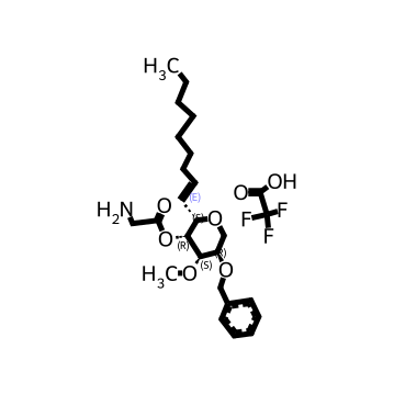 CCCCCCC/C=C/[C@@H]1OC[C@@H](OCc2ccccc2)[C@H](OC)[C@@H]1OC(=O)CN.O=C(O)C(F)(F)F